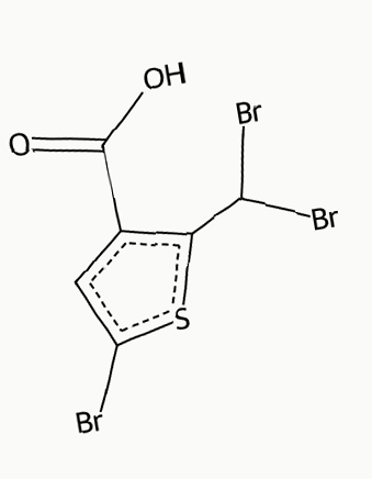 O=C(O)c1cc(Br)sc1C(Br)Br